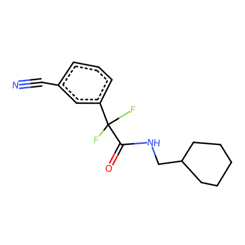 N#Cc1cccc(C(F)(F)C(=O)NCC2CCCCC2)c1